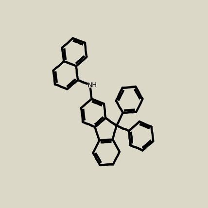 C1=CC2=C(CC1)C(c1ccccc1)(c1ccccc1)c1cc(Nc3cccc4ccccc34)ccc12